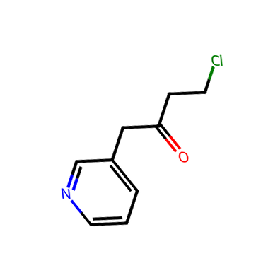 O=C(CCCl)Cc1cccnc1